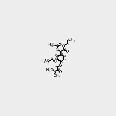 CCCOC(=O)C(OC(C)=O)c1ccc(OCC(=O)N(C)C)c(OCCC)c1